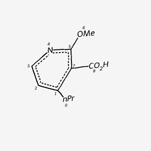 CCCc1ccnc(OC)c1C(=O)O